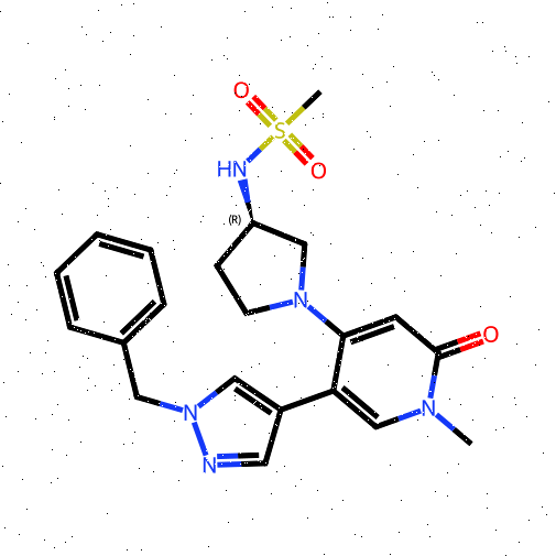 Cn1cc(-c2cnn(Cc3ccccc3)c2)c(N2CC[C@@H](NS(C)(=O)=O)C2)cc1=O